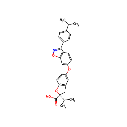 CC(C)c1ccc(-c2noc3cc(Oc4ccc5c(c4)C[C@](C(=O)O)(C(C)C)O5)ccc23)cc1